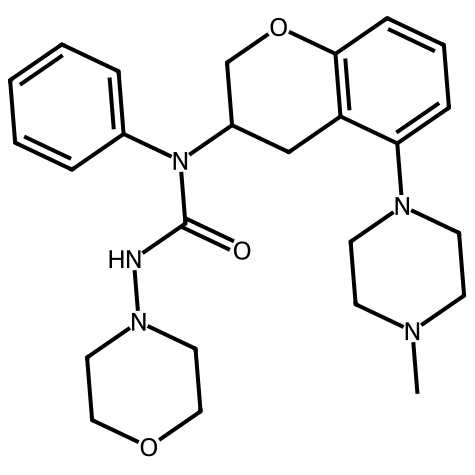 CN1CCN(c2cccc3c2CC(N(C(=O)NN2CCOCC2)c2ccccc2)CO3)CC1